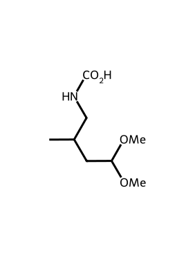 COC(CC(C)CNC(=O)O)OC